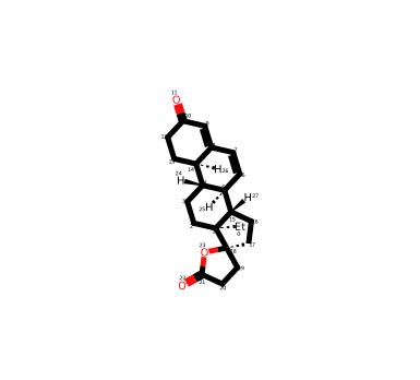 CC[C@]12CC[C@H]3[C@@H](C=CC4=CC(=O)CC[C@@H]43)[C@@H]1CC[C@@]21CCC(=O)O1